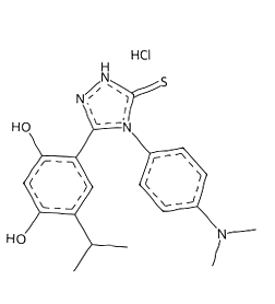 CC(C)c1cc(-c2n[nH]c(=S)n2-c2ccc(N(C)C)cc2)c(O)cc1O.Cl